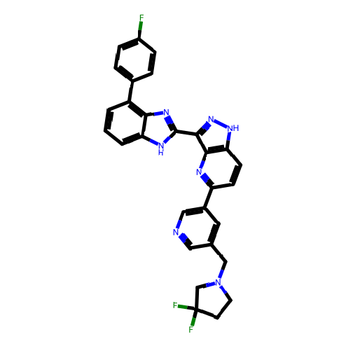 Fc1ccc(-c2cccc3[nH]c(-c4n[nH]c5ccc(-c6cncc(CN7CCC(F)(F)C7)c6)nc45)nc23)cc1